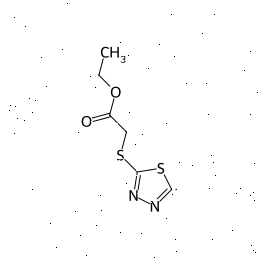 CCOC(=O)CSc1nn[c]s1